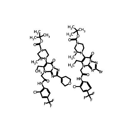 CCc1c(N2CCN(C(=O)OC(C)(C)C)C[C@@H]2C)c(=O)n2nc(Br)nc2n1CC(=O)Nc1ccc(C(F)(F)F)cc1Cl.CCc1c(N2CCN(C(=O)OC(C)(C)C)C[C@@H]2C)c(=O)n2nc(C3=CCOCC3)nc2n1CC(=O)Nc1ccc(C(F)(F)F)cc1Cl